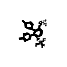 Cc1ccc(-c2cccc([SH2+])c2-c2ccc(C)cc2)cc1.F[B-](F)(F)F